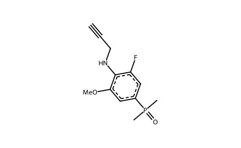 C#CCNc1c(F)cc(P(C)(C)=O)cc1OC